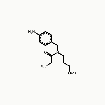 COCCCN(Cc1ccc(N)cc1)C(=O)CC(C)(C)C